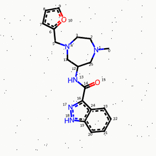 CN1CCN(Cc2ccco2)CC(NC(=O)c2n[nH]c3ccccc23)C1